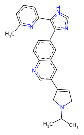 Cc1cccc(-c2[nH]cnc2-c2ccc3ncc(C4=CCN(C(C)C)C4)cc3c2)n1